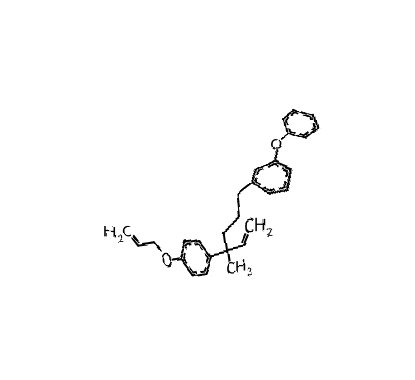 C=CCOc1ccc(C(C)(C=C)CCCc2cccc(Oc3ccccc3)c2)cc1